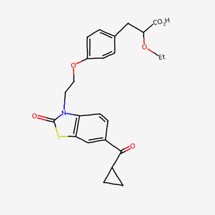 CCOC(Cc1ccc(OCCn2c(=O)sc3cc(C(=O)C4CC4)ccc32)cc1)C(=O)O